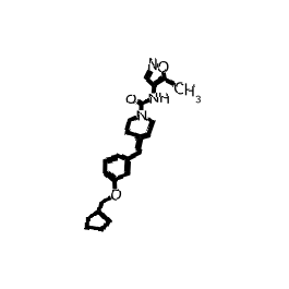 Cc1oncc1NC(=O)N1CCC(=Cc2cccc(OCC3CCCC3)c2)CC1